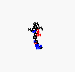 Cc1cc(C)c(C(=O)NC(Cc2ccc(-c3cc(CNc4ncc[nH]4)on3)cc2)C(=O)O)c(C)c1